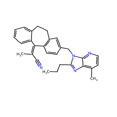 CCCc1nc2c(C)ccnc2n1Cc1ccc2c(c1)CCc1ccccc1C2=C(C)C#N